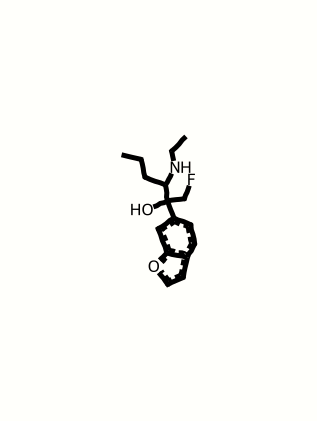 CCCC(NCC)C(O)(CF)c1ccc2ccoc2c1